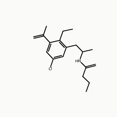 C=C(CCC)NC(C)Cc1cc(Cl)cc(C(=C)C)c1CC